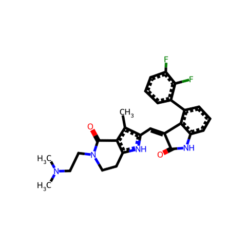 Cc1c(C=C2C(=O)Nc3cccc(-c4cccc(F)c4F)c32)[nH]c2c1C(=O)N(CCN(C)C)CC2